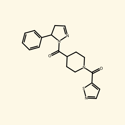 O=C(c1ccns1)N1CCC(C(=O)N2N=CCC2c2ccccc2)CC1